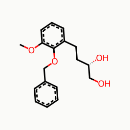 COc1cccc(CC[C@H](O)CO)c1OCc1ccccc1